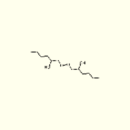 CCCCC(O)COOCC(O)CCCC